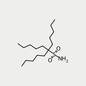 CCCCCC(CCCCC)(CCCCC)S(N)(=O)=O